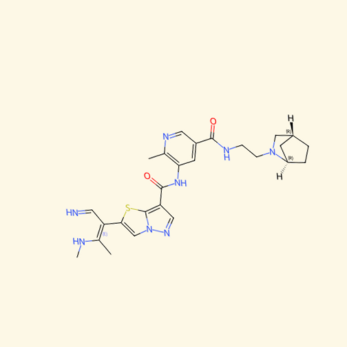 CN/C(C)=C(\C=N)c1cn2ncc(C(=O)Nc3cc(C(=O)NCCN4C[C@@H]5CC[C@@H]4C5)cnc3C)c2s1